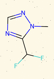 Cn1ncnc1C(F)F